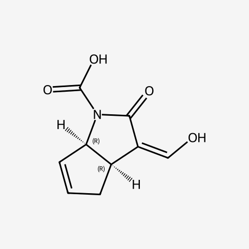 O=C(O)N1C(=O)C(=CO)[C@H]2CC=C[C@H]21